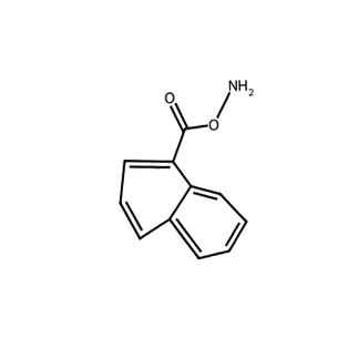 NOC(=O)c1cccc2ccccc12